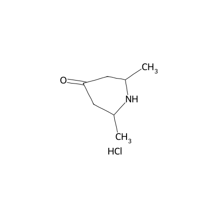 CC1CC(=O)CC(C)N1.Cl